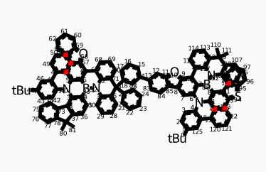 CC(C)(C)c1ccc(N2c3cc4c(oc5cc(-c6cccc(C7(c8ccccc8)c8ccccc8N8B9c%10ccc%11c(c%10N(c%10ccc(C(C)(C)C)cc%10-c%10ccccc%10)c%10cc%12c(oc%13ccccc%13%12)c(c%109)-c9cccc7c98)-c7ccccc7C%11(C)C)c6)ccc54)c4c3B(c3c2ccc2sc5ccccc5c32)N2c3ccccc3C(C)(C)c3cccc-4c32)c(-c2ccccc2)c1